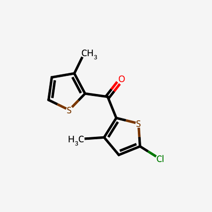 Cc1ccsc1C(=O)c1sc(Cl)cc1C